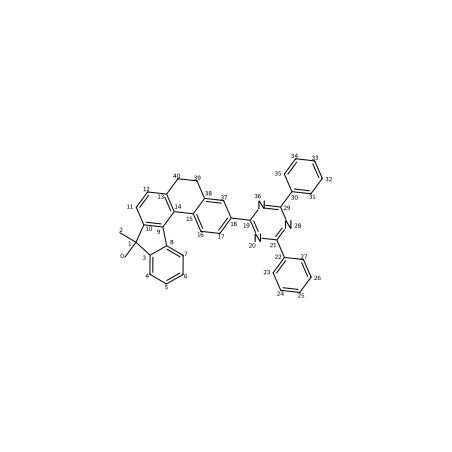 CC1(C)c2ccccc2-c2c1ccc1c2-c2ccc(-c3nc(-c4ccccc4)nc(-c4ccccc4)n3)cc2CC1